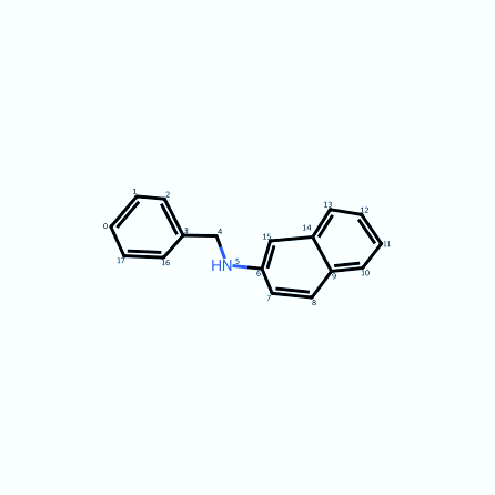 c1ccc(CNc2ccc3ccccc3c2)cc1